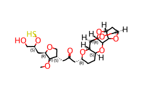 CO[C@@H]1[C@@H](CC(=O)C[C@H]2CC[C@@H]3OC4C5O[C@@H]6C[C@H]5O[C@H]4[C@@H](O6)[C@H]3O2)CO[C@@H]1C[C@@H](CO)OS